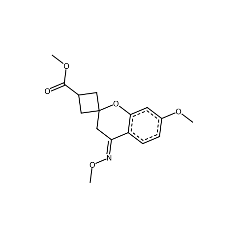 CON=C1CC2(CC(C(=O)OC)C2)Oc2cc(OC)ccc21